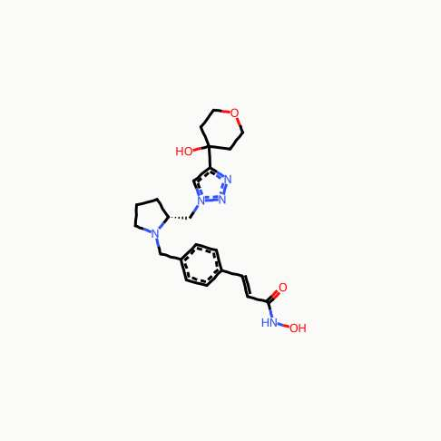 O=C(/C=C/c1ccc(CN2CCC[C@@H]2Cn2cc(C3(O)CCOCC3)nn2)cc1)NO